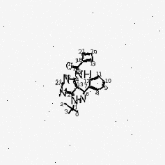 CC(C)(C)n1nc(-c2ccccc2)c2c(NC(=O)C3=CC=C3)ncnc21